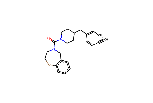 C#C/C=C\C(=C/C)CC1CCN(C(=O)N2CCSc3ccccc3C2)CC1